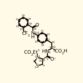 CCOC(=O)N1CSC[C@@H]1C(=O)N[C@@H](Cc1ccc(NC(=O)c2ccccc2C(F)(F)F)cc1)C(=O)O